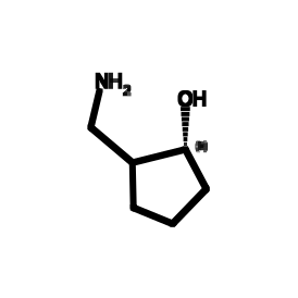 NCC1CCC[C@H]1O